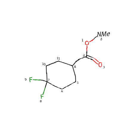 CNOC(=O)C1CCC(F)(F)CC1